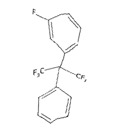 Fc1cccc(C(c2ccccc2)(C(F)(F)F)C(F)(F)F)c1